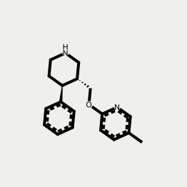 Cc1ccc(OC[C@H]2CNCC[C@@H]2c2ccccc2)nc1